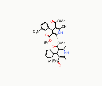 COC(=O)C1=C(C#N)NC(C)=C(C(=O)OC(C)C)C1c1cccc([N+](=O)[O-])c1.COC(=O)C1=C(C)NC(C)=C(C(=O)OC)C1c1ccccc1[N+](=O)[O-]